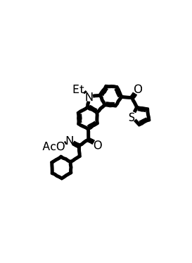 CCn1c2ccc(C(=O)C(CC3CCCCC3)=NOC(C)=O)cc2c2cc(C(=O)c3cccs3)ccc21